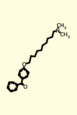 CN(C)CCCCCCCCCCOc1ccc(C(=O)c2ccccc2)cc1